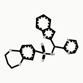 O=S(=O)(NC(c1ncccn1)c1cc2ccccc2o1)c1ccc2c(c1)OCCCO2